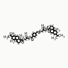 CC(C)C1=CC2=CCC3C(C)(C(=O)OCC(O)COOCc4ccc(C(=O)OCC(O)COC(=O)C5(C)CCCC6(C)C7CCC(C(C)C)=CC7=CCC56)cc4)CCCC3(C)C2CC1